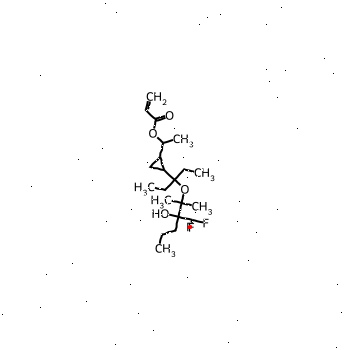 C=CC(=O)OC(C)C1CC1C(CC)(CC)OC(C)(C)C(O)(CCC)C(F)(F)F